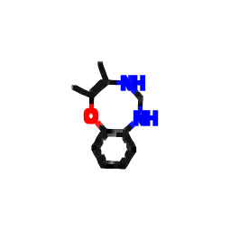 C/C1=C(\C)Oc2ccccc2NCN1